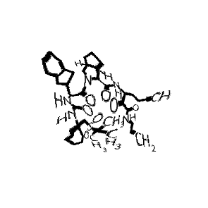 C#CCCC(NC(=O)[C@@H]1[C@H]2CCC[C@H]2CN1C(=O)[C@@H](NC(=O)NC1(CS(=O)(=O)C(C)(C)C)CCCCC1)C1Cc2ccccc2C1)C(=O)C(=O)NCC=C